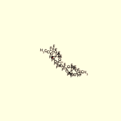 COCC1(C(F)(F)F)OC(F)(F)C2(C(F)(F)O1)C(F)(F)OC(COC(F)(F)C1OC(F)(F)C3(C(F)(F)O1)C(F)(F)OC(F)(C(C)(F)F)OC3(F)F)(C(F)(F)F)OC2(F)F